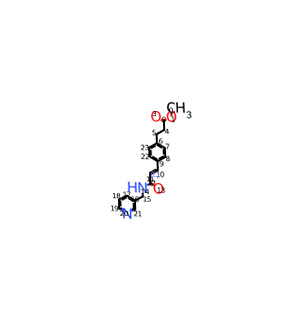 COC(=O)CCc1ccc(/C=C/C(=O)NCc2cccnc2)cc1